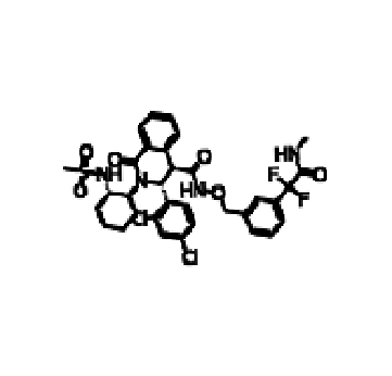 CNC(=O)C(F)(F)c1cccc(CONC(=O)[C@@H]2c3ccccc3C(=O)N([C@H]3CCCC[C@@H]3NS(C)(=O)=O)[C@H]2c2ccc(Cl)cc2Cl)c1